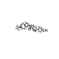 N#Cc1ccc(-c2ccc(C(=O)Nc3ccc4c(c3)CCN(C3CCC3)CC4)cn2)cc1